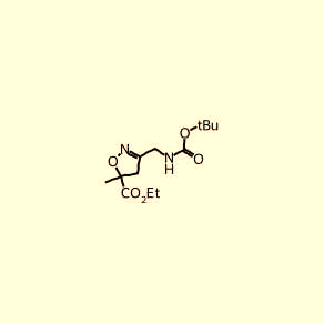 CCOC(=O)C1(C)CC(CNC(=O)OC(C)(C)C)=NO1